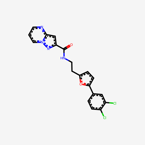 O=C(NCCc1ccc(-c2ccc(Cl)c(Cl)c2)o1)c1cc2ncccn2n1